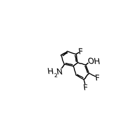 Nc1ccc(F)c2c(O)c(F)c(F)cc12